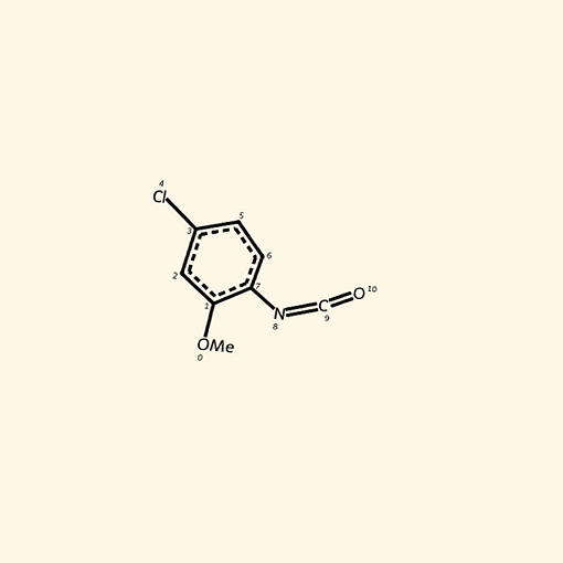 COc1cc(Cl)ccc1N=C=O